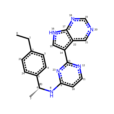 CCc1ccc([C@@H](C)Nc2ccnc(-c3c[nH]c4ncncc34)n2)cc1